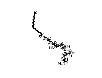 CC(C)(COP(=O)(O)OP(=O)(O)OC[C@H]1O[C@@H](n2cnc3c(N)ncnc32)[C@H](O)[C@@H]1OP(=O)(O)O)C(O)C(=O)NCCC(=O)NCCSC(=O)CCCCC/C=C\CCCCCCCC=O